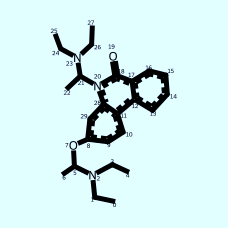 CCN(CC)C(C)Oc1ccc2c3ccccc3c(=O)n(C(C)N(CC)CC)c2c1